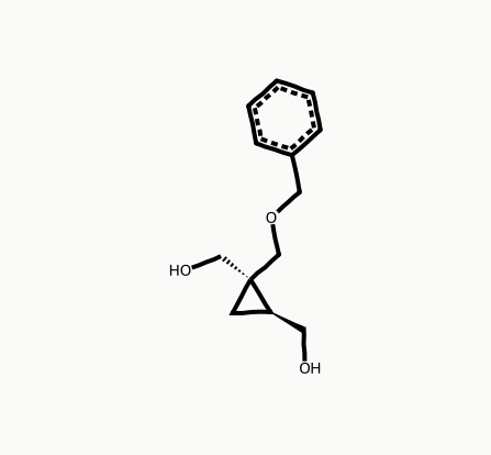 OC[C@H]1C[C@@]1(CO)COCc1ccccc1